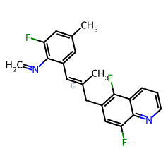 C=Nc1c(F)cc(C)cc1/C=C(\C)Cc1cc(F)c2ncccc2c1F